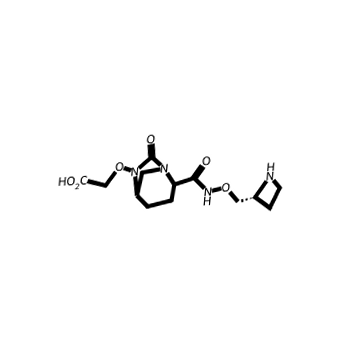 O=C(O)CON1C(=O)N2CC1CCC2C(=O)NOC[C@H]1CCN1